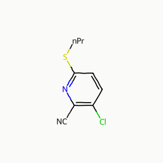 CCCSc1ccc(Cl)c(C#N)n1